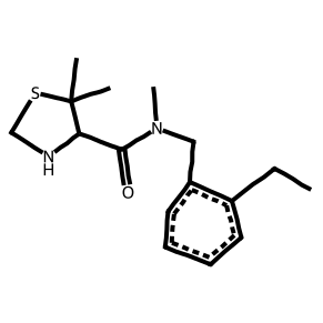 CCc1ccccc1CN(C)C(=O)C1NCSC1(C)C